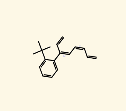 C=C/C=C\C=C(/C=C)c1ccccc1C(C)(C)C